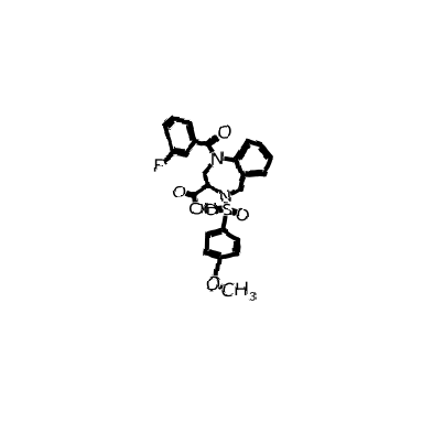 COc1ccc(S(=O)(=O)N2Cc3ccccc3N(C(=O)c3cccc(F)c3)CC2C(=O)O)cc1